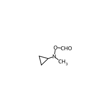 CN(OC=O)C1CC1